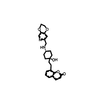 O=c1ccc2cccc(CC[C@]3(O)CC[C@H](NCc4cc5c(cn4)OCCO5)CC3)c2o1